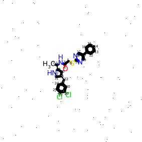 CC(NC(=O)CSc1ncc(-c2ccccc2)cn1)[C@H]1C[C@@H](Cc2ccc(Cl)c(Cl)c2)CN1